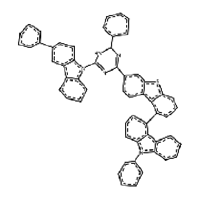 c1ccc(-c2ccc3c(c2)c2ccccc2n3C2=NC(c3ccc4c(c3)sc3cccc(-c5cccc6c5c5ccccc5n6-c5ccccc5)c34)=NC(c3ccccc3)N2)cc1